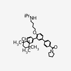 CC(C)NCCCCOc1ccc(-c2ccc(C(=O)N3CCCC3)cc2)cc1-c1ccc2c(c1)C(C)(C)CCC2(C)C